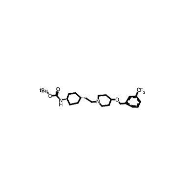 CC(C)(C)OC(=O)N[C@H]1CC[C@H](CCN2CCC(OCc3cccc(C(F)(F)F)c3)CC2)CC1